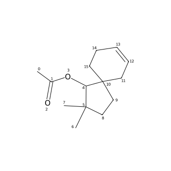 CC(=O)OC1C(C)(C)CCC12CC=CCC2